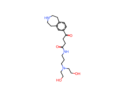 O=C(CCC(=O)c1ccc2c(c1)CCNCC2)NCCCN(CCO)CCO